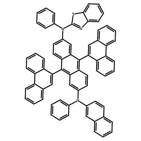 c1ccc(N(c2ccc3ccccc3c2)c2ccc3c(-c4cc5ccccc5c5ccccc45)c4cc(N(c5ccccc5)c5nc6ccccc6s5)ccc4c(-c4cc5ccccc5c5ccccc45)c3c2)cc1